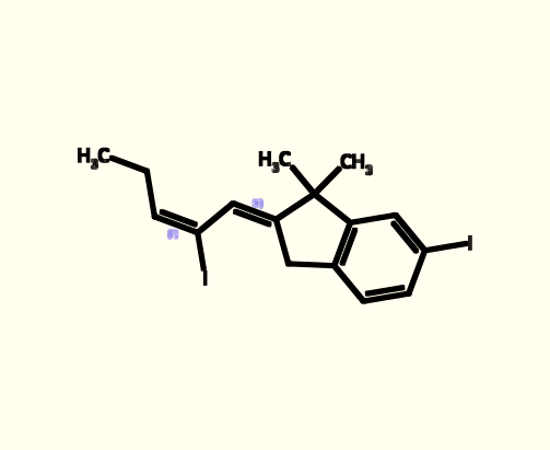 CC/C=C(I)\C=C1/Cc2ccc(I)cc2C1(C)C